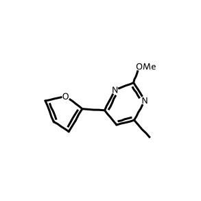 COc1nc(C)cc(-c2ccco2)n1